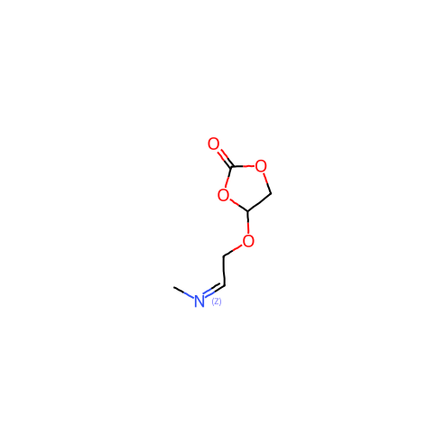 C/N=C\COC1COC(=O)O1